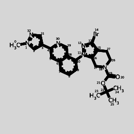 Cn1cc(-c2cc3cccc(-n4nc(Br)c5c4CN(C(=O)OC(C)(C)C)CC5)c3cn2)cn1